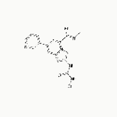 CCNC(=O)Nc1cn2c(C(CC)=NC)cc(-c3cccnc3)cc2n1